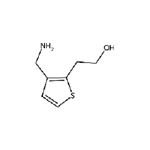 NCc1ccsc1CCO